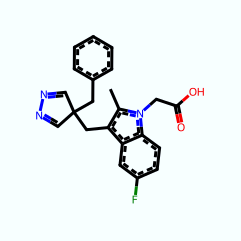 Cc1c(CC2(Cc3ccccc3)C=NN=C2)c2cc(F)ccc2n1CC(=O)O